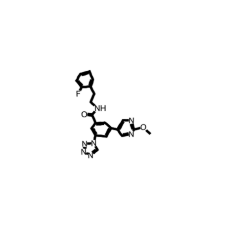 COc1ncc(-c2cc(C(=O)NCCc3ccccc3F)cc(-n3cnnn3)c2)cn1